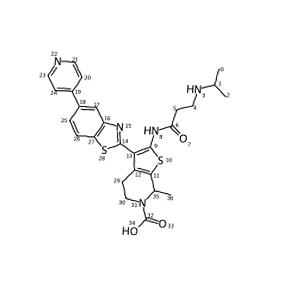 CC(C)NCCC(=O)Nc1sc2c(c1-c1nc3cc(-c4ccncc4)ccc3s1)CCN(C(=O)O)C2C